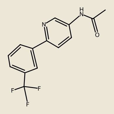 CC(=O)Nc1ccc(-c2cccc(C(F)(F)F)c2)nc1